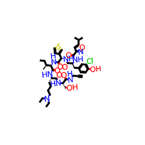 C#CCNC(=O)[C@H](CO)NC(=O)[C@H](CCCCN(CC)CC)NC(=O)[C@@H](NC(=O)[C@@H](NC(=O)[C@H](Cc1ccc(O)c(Cl)c1)NC(=O)c1cc(C(C)C)on1)c1ccsc1)[C@@H](C)CC